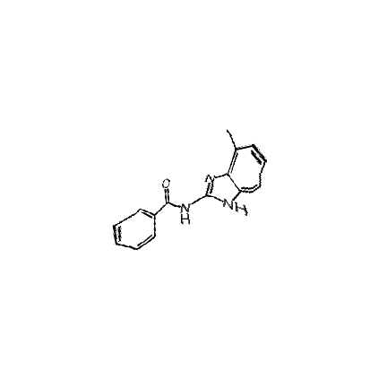 Cc1cccc2[nH]c(NC(=O)c3ccccc3)nc12